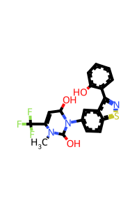 CN1C(C(F)(F)F)=CC(O)N(c2ccc3snc(-c4ccccc4O)c3c2)C1O